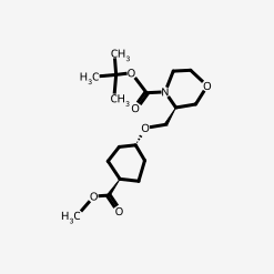 COC(=O)[C@H]1CC[C@H](OC[C@@H]2COCCN2C(=O)OC(C)(C)C)CC1